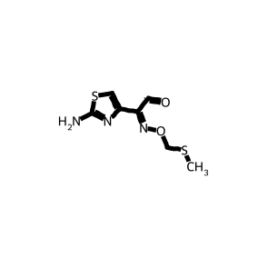 CSCO/N=C(\[C]=O)c1csc(N)n1